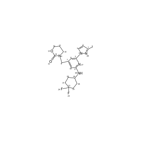 Cc1ccn(-c2cc(CN3CCCOC3=O)cc(NC3CCC(F)(F)CC3)n2)n1